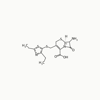 CCc1nc(CC)c(SCC2=C(C(=O)O)N3C(=O)C(N)[C@@H]3SC2)s1